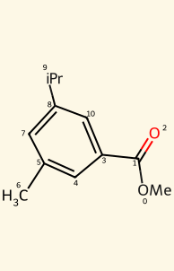 COC(=O)c1cc(C)cc(C(C)C)c1